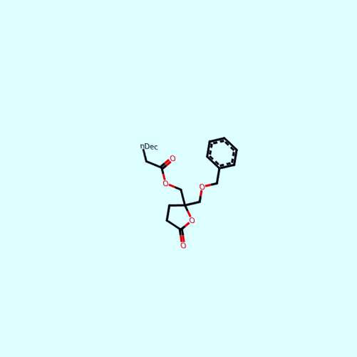 CCCCCCCCCCCC(=O)OCC1(COCc2ccccc2)CCC(=O)O1